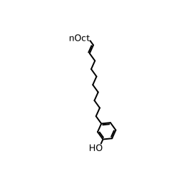 CCCCCCCCC=CCCCCCCCCc1cccc(O)c1